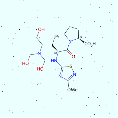 COc1nsc(N[C@@H](CC(C)C)C(=O)N2CCC[C@H]2C(=O)O)n1.OCCN(CO)CO